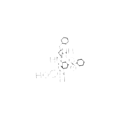 O=S(=O)(c1ccccc1)c1cc(Nc2cc(Cc3ccccc3)[nH]n2)nc(N[C@H]2CC[C@H](O)CC2)c1